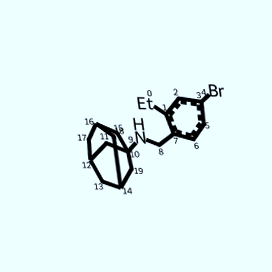 CCc1cc(Br)ccc1CNC12CC3CC(CC(C3)C1)C2